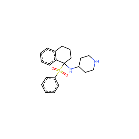 O=S(=O)(c1ccccc1)C1(NC2CCNCC2)CCCc2ccccc21